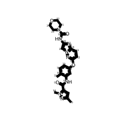 Cc1cc(C(=O)Nc2cc(Oc3ccc4nc(NC(=O)N5CCOCC5)cn4n3)ccc2C)n(C)n1